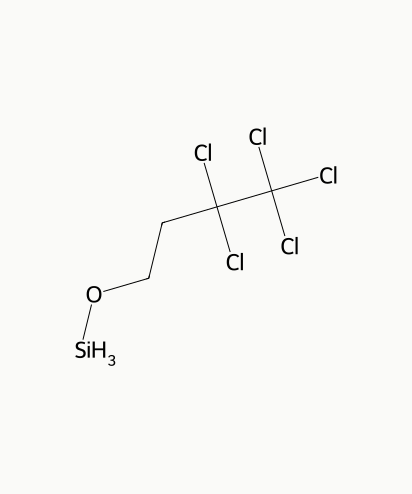 [SiH3]OCCC(Cl)(Cl)C(Cl)(Cl)Cl